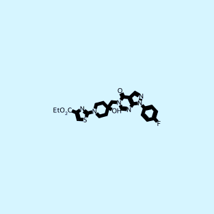 CCOC(=O)c1csc(N2CCC(O)(Cn3cnc4c(cnn4-c4ccc(F)cc4)c3=O)CC2)n1